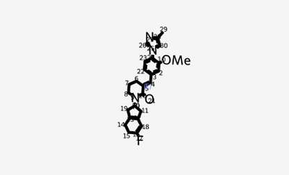 COc1cc(/C=C2\CCCN([C@H]3CC4=C(CCC(F)=C4)C3)C2=O)ccc1-n1cnc(C)c1